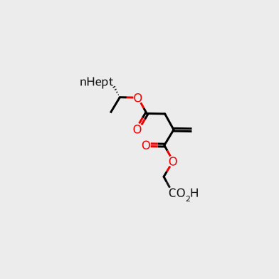 C=C(CC(=O)O[C@H](C)CCCCCCC)C(=O)OCC(=O)O